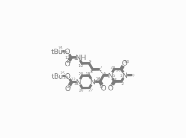 CN1CC(=O)N([C@@H](CCCCNC(=O)OC(C)(C)C)C(=O)N2CCN(C(=O)OC(C)(C)C)CC2)CC1=O